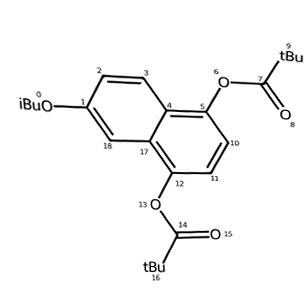 CC(C)COc1ccc2c(OC(=O)C(C)(C)C)ccc(OC(=O)C(C)(C)C)c2c1